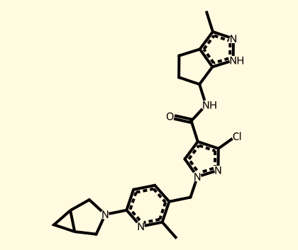 Cc1nc(N2CC3CC3C2)ccc1Cn1cc(C(=O)NC2CCc3c(C)n[nH]c32)c(Cl)n1